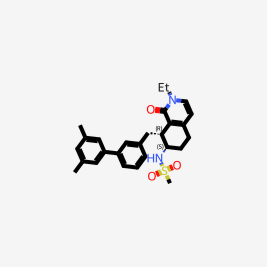 CCn1ccc2c(c1=O)[C@@H](Cc1cccc(-c3cc(C)cc(C)c3)c1)[C@@H](NS(C)(=O)=O)CC2